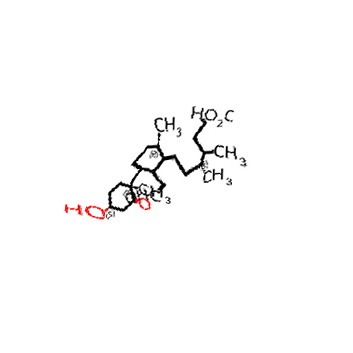 CC(CCC(=O)O)[C@H](C)CCC1C(CC=O)C([C@@]2(C)CC[C@H](O)CC2=O)CC[C@H]1C